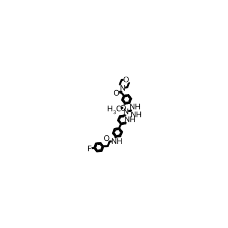 COc1cc(C(=O)N2CCOCC2)ccc1NC(=N)/N=c1/ccc(-c2ccc(NC(=O)Cc3ccc(F)cc3)cc2)c[nH]1